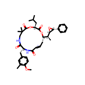 COc1ccc(C[C@H]2NC(=O)/C=C/C[C@@H]([C@H](C)[C@H]3O[C@@H]3c3ccccc3)OC(=O)[C@H](CC(C)C)OC(=O)C(C)(C)CNC2=O)cc1C